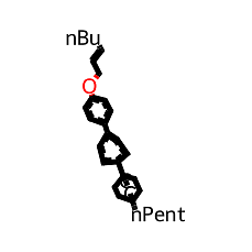 CCCCC=CCOc1ccc(-c2ccc(C34CCC(CCCCC)(CC3)CC4)cc2)cc1